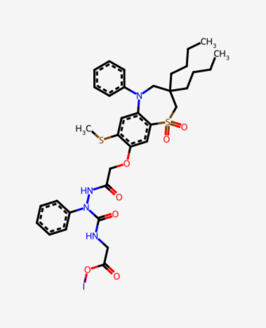 CCCCC1(CCCC)CN(c2ccccc2)c2cc(SC)c(OCC(=O)NN(C(=O)NCC(=O)OI)c3ccccc3)cc2S(=O)(=O)C1